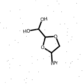 CCCC1COC(C(O)O)O1